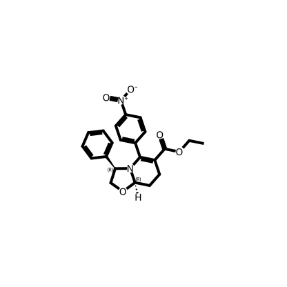 CCOC(=O)C1=C(c2ccc([N+](=O)[O-])cc2)N2[C@@H](CC1)OC[C@H]2c1ccccc1